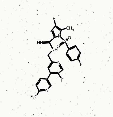 Cc1c(F)cc(C(=N)NCc2cc(-c3ccc(C(F)(F)F)nc3)c(F)cn2)n1S(=O)(=O)c1ccc(F)cc1